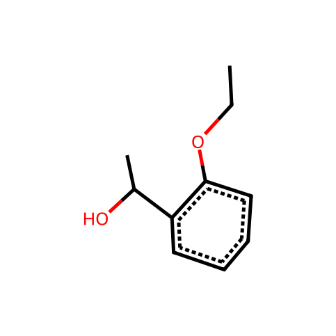 CCOc1ccccc1C(C)O